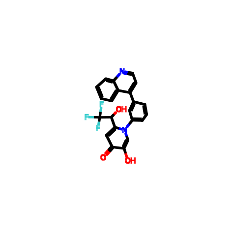 O=c1cc(C(O)C(F)(F)F)n(-c2cccc(-c3ccnc4ccccc34)c2)cc1O